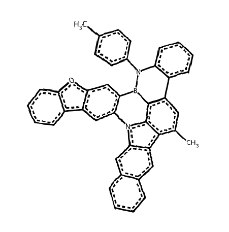 Cc1ccc(N2B3c4cc5oc6ccccc6c5cc4-n4c5cc6ccccc6cc5c5c(C)cc(c3c54)-c3ccccc32)cc1